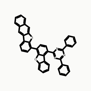 c1ccc(-c2nc(-c3ccccc3)nc(-c3ccc(-c4cccc5c4sc4cc6ccccc6cc45)c4oc5ccccc5c34)n2)cc1